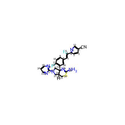 N#Cc1ccc(/C(F)=C/c2ccc(F)c([C@]34CN(c5ncccn5)C[C@H]3CSC(N)=N4)c2)nc1